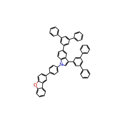 c1ccc(-c2cc(-c3ccccc3)cc(-c3ccc4c(c3)c(-c3cc(-c5ccccc5)cc(-c5ccccc5)c3)cn4-c3ccc(-c4ccc5oc6ccccc6c5c4)cc3)c2)cc1